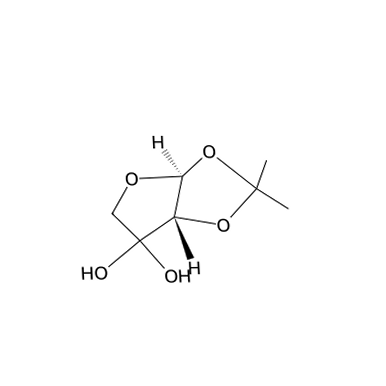 CC1(C)O[C@@H]2OCC(O)(O)[C@H]2O1